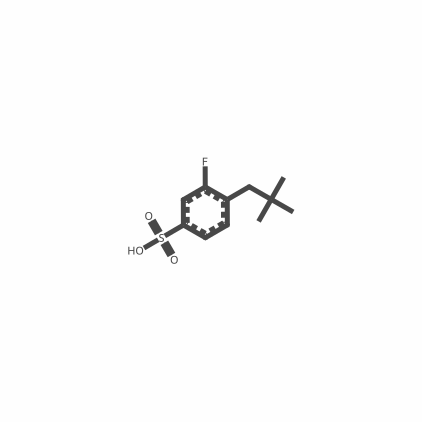 CC(C)(C)Cc1ccc(S(=O)(=O)O)cc1F